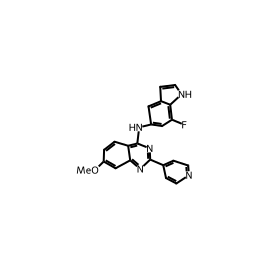 COc1ccc2c(Nc3cc(F)c4[nH]ccc4c3)nc(-c3ccncc3)nc2c1